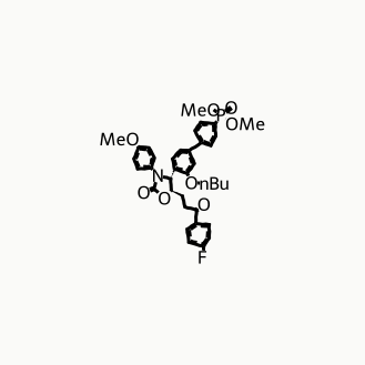 CCCCOc1cc(-c2ccc(P(=O)(OC)OC)cc2)ccc1[C@@H]1[C@@H](CCC(=O)c2ccc(F)cc2)OC(=O)N1c1ccc(OC)cc1